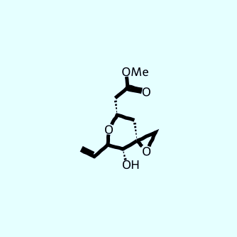 C=CC1O[C@H](CC(=O)OC)C[C@@]2(CO2)[C@@H]1O